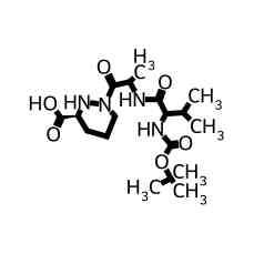 CC(NC(=O)C(NC(=O)OC(C)(C)C)C(C)C)C(=O)N1CCC[C@@H](C(=O)O)N1